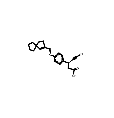 CC#C[C@@H](CC(=O)O)c1ccc(OCC2=CC3(CCCC3)CC2)cc1